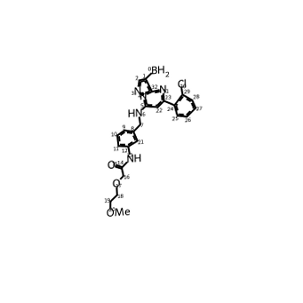 Bc1cnn2c(NCc3cccc(NC(=O)COCCOC)c3)cc(-c3ccccc3Cl)nc12